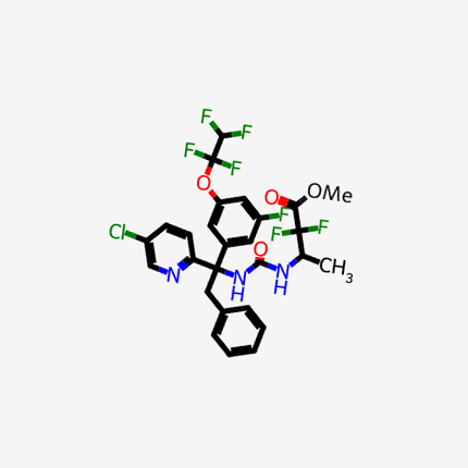 COC(=O)C(F)(F)C(C)NC(=O)NC(Cc1ccccc1)(c1cc(F)cc(OC(F)(F)C(F)F)c1)c1ccc(Cl)cn1